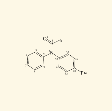 CC(=O)N(c1ccccc1)c1ccc(F)cc1